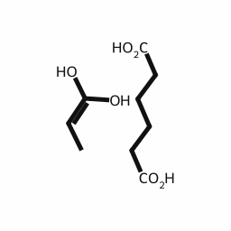 CC=C(O)O.O=C(O)CCCCC(=O)O